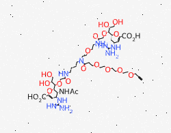 C#CCOCCOCCOCCOCCC(=O)N(CCCCNC(=O)CO[C@@H]([C@@H]1OC(C(=O)O)=C[C@H](NC(=N)N)[C@H]1NC(C)=O)[C@H](O)CO)CCOCCNC(=O)CO[C@H]([C@H](O)CO)[C@H]1C[C@@H](NC(=N)N)C=C(C(=O)O)O1